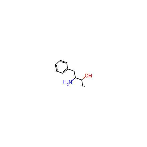 [CH2]C(O)C(N)Cc1ccccc1